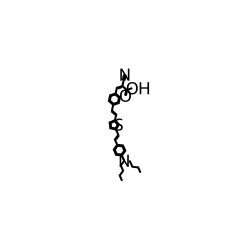 CCCCN(CCCC)c1ccc(/C=C/c2ccc(/C=C/c3ccc(C=C(C#N)C(=O)O)cc3)s2)cc1